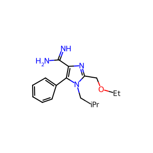 CCOCc1nc(C(=N)N)c(-c2ccccc2)n1CC(C)C